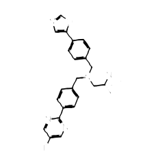 C[C@H](N)CN(Cc1ccc(-c2ncc(F)cn2)cc1)Cc1ccc(-c2cnco2)cc1